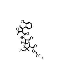 Cc1onc(-c2ccccc2Cl)c1C(=O)NC1C(=O)N2C(C(=O)OCC(Cl)(Cl)Cl)C(C)(CBr)S[C@H]12